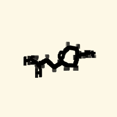 CCN1CCOC(CCNS)CC1